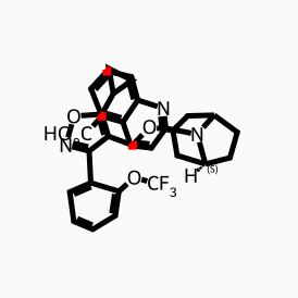 O=C(O)c1cccc2nc(N3C4CC[C@H]3CC(OCc3c(-c5ccccc5OC(F)(F)F)noc3C3CC3)C4)ccc12